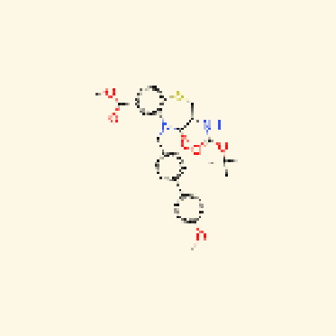 COC(=O)c1ccc2c(c1)N(Cc1ccc(-c3ccc(OC)cc3)cc1)C(=O)[C@@H](NC(=O)OC(C)(C)C)CS2